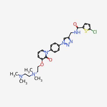 CN(C)CC[N+](C)(C)CCOc1cccn(-c2ccc(-n3cc(CNC(=O)c4ccc(Cl)s4)nn3)cc2)c1=O